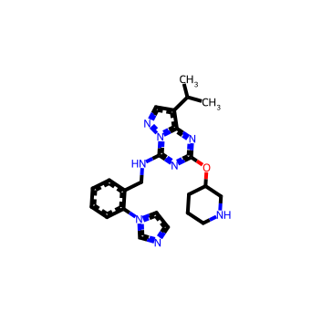 CC(C)c1cnn2c(NCc3ccccc3-n3ccnc3)nc(OC3CCCNC3)nc12